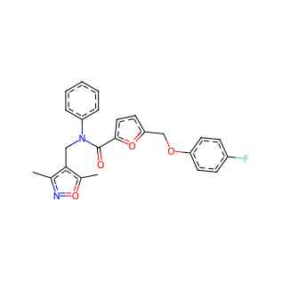 Cc1noc(C)c1CN(C(=O)c1ccc(COc2ccc(F)cc2)o1)c1ccccc1